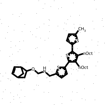 CCCCCCCCc1c(-c2ccc(C)s2)sc(-c2ccc(CNCOC3CC4C=CC3C4)s2)c1CCCCCCCC